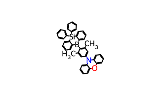 Cc1cc(N2c3ccccc3Oc3ccccc32)cc(C)c1B1c2ccccc2[Si](c2ccccc2)(c2ccccc2)c2ccccc21